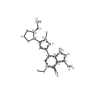 CCn1cc(-c2cc(N3CCC[C@H]3CO)n(C)n2)c2[nH]nc(N)c2c1=O